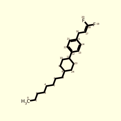 CCCCCCCCC1CCC(c2ccc(CC=C(F)F)cc2)CC1